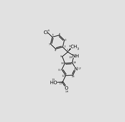 C[C@]1(c2ccc(Cl)cc2)Cc2cc(C(=O)O)cnc2N1